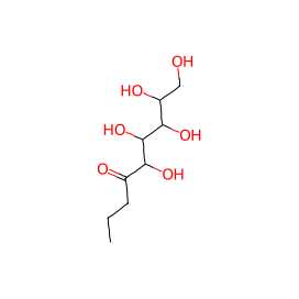 CCCC(=O)C(O)C(O)C(O)C(O)CO